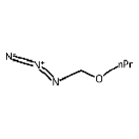 CCCOCN=[N+]=[N-]